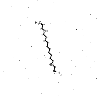 C=CCNCCCCCCCCCCNCC=C